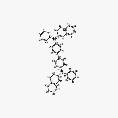 C1=CCC(N(C2=Cc3ccccc3CC2)c2ccc(-c3ccc(N(C4=Cc5ccccc5CC4)c4ccccc4)cc3)cc2)C=C1